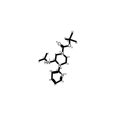 CC(C)NC1CN(C(=O)OC(C)(C)C)CCN1c1ccccn1